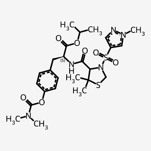 CC(C)OC(=O)[C@H](Cc1ccc(OC(=O)N(C)C)cc1)NC(=O)C1N(S(=O)(=O)c2cnn(C)c2)CSC1(C)C